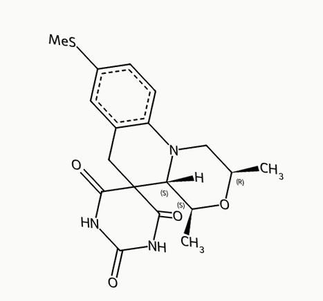 CSc1ccc2c(c1)CC1(C(=O)NC(=O)NC1=O)[C@H]1[C@H](C)O[C@H](C)CN21